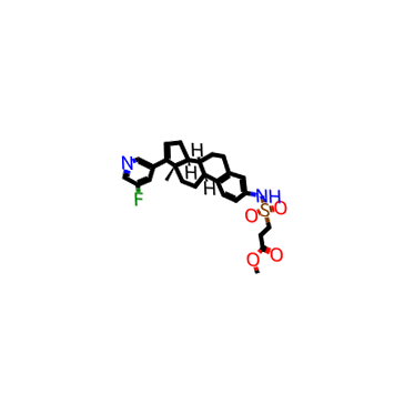 COC(=O)CCS(=O)(=O)Nc1ccc2c(c1)CC[C@@H]1[C@@H]2CC[C@]2(C)C(c3cncc(F)c3)=CC[C@@H]12